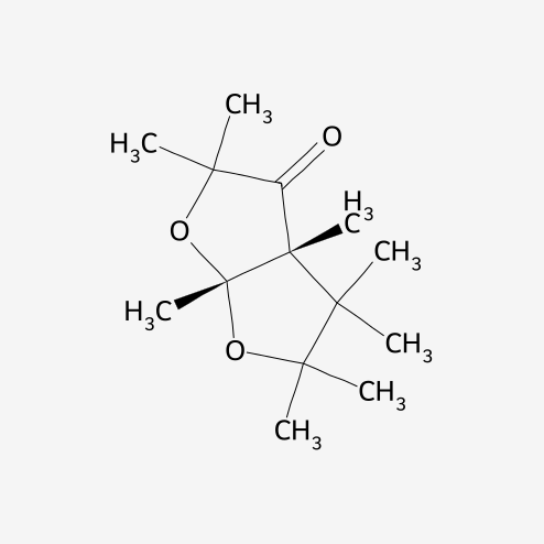 CC1(C)O[C@@]2(C)OC(C)(C)C(C)(C)[C@@]2(C)C1=O